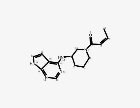 C/C=C\C(=O)N1CCC[C@@H](Nc2ncnc3[nH]ccc23)C1